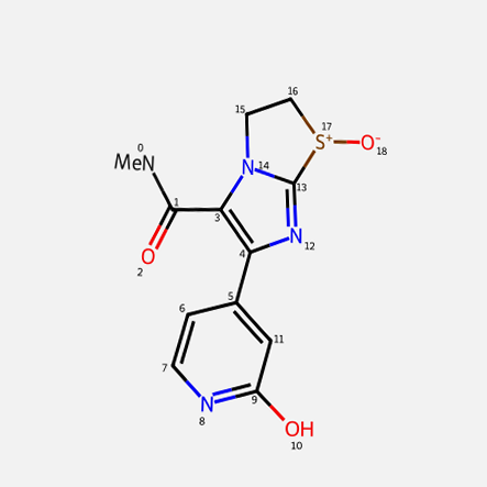 CNC(=O)c1c(-c2ccnc(O)c2)nc2n1CC[S+]2[O-]